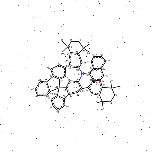 CC1(C)CCC(C)(C)c2cc(-c3cc4c(cc3N(c3ccc5c(c3)C(C)(C)CCC5(C)C)c3cccc5ccccc35)C3(c5ccccc5-c5ccccc53)c3ccccc3-4)ccc21